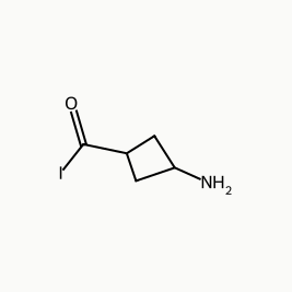 NC1CC(C(=O)I)C1